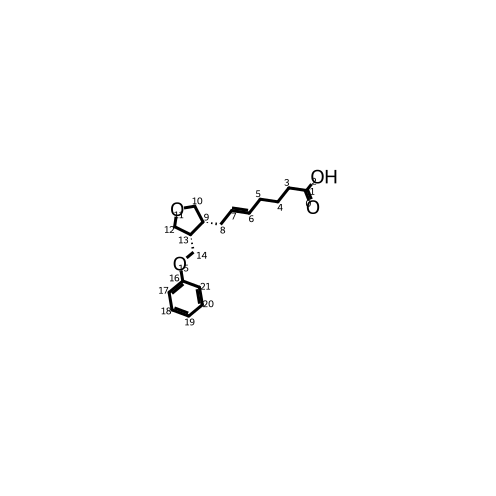 O=C(O)CCCC=CC[C@H]1COC[C@H]1COc1ccccc1